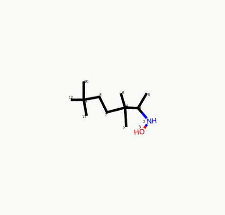 CC(NO)C(C)(C)CCC(C)(C)C